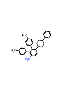 Cc1ccc(-c2c(N)ccc(C3CCC(c4ccccc4)CC3)c2-c2ccc(C)cc2)cc1